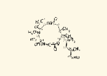 C=C1CC(=O)N[C@@H](C)C(=O)N(C)[C@@H](C(C)C)C(=O)NCC(=O)O[C@@H](/C(C)=C/C(C)=C/C(C)(C)C)[C@@H]1C